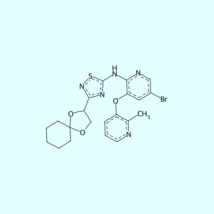 Cc1ncccc1Oc1cc(Br)cnc1Nc1nc(C2COC3(CCCCC3)O2)ns1